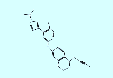 CC#CCC1NCCc2cc(Nc3ncc(C)c(-c4cnn(C(C)C)c4)n3)ccc21